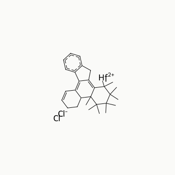 C[C]1([Hf+2])C2=C3Cc4ccccc4C3=C3C=CCCC3C2(C)C(C)(C)C(C)(C)C1(C)C.[Cl-].[Cl-]